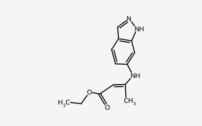 CCOC(=O)C=C(C)Nc1ccc2cn[nH]c2c1